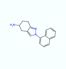 NC1CCc2nn(-c3cccc4ccccc34)cc2C1